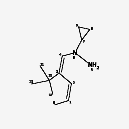 C/C=C\C(=C/N(N)C1CC1)C(C)(C)C